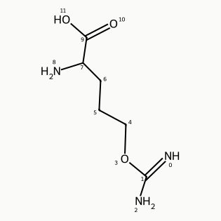 N=C(N)OCCCC(N)C(=O)O